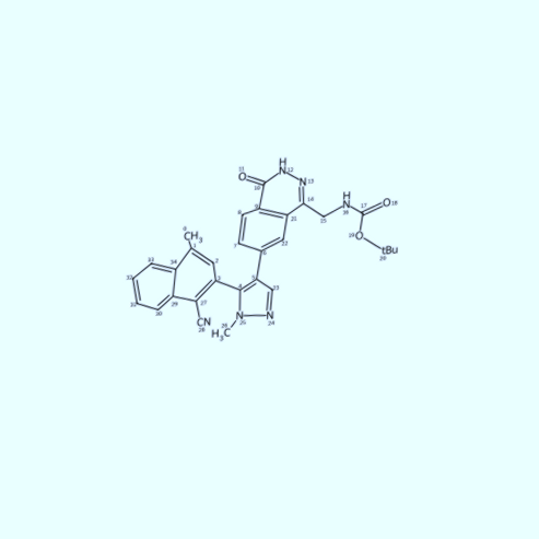 Cc1cc(-c2c(-c3ccc4c(=O)[nH]nc(CNC(=O)OC(C)(C)C)c4c3)cnn2C)c(C#N)c2ccccc12